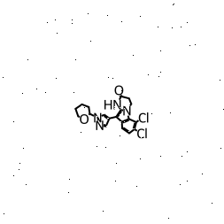 O=C1CCn2c(c(-c3cnn(C4CCCCO4)c3)c3ccc(Cl)c(Cl)c32)N1